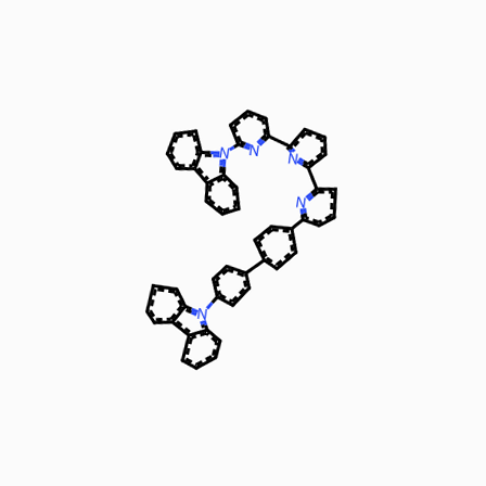 c1cc(-c2ccc(-c3ccc(-n4c5ccccc5c5ccccc54)cc3)cc2)nc(-c2cccc(-c3cccc(-n4c5ccccc5c5ccccc54)n3)n2)c1